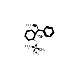 C=C[C@@H](c1ccccc1)[C@]1(O)CCCC[C@H]1O[Si](C)(C)C